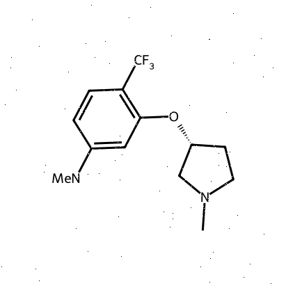 CNc1ccc(C(F)(F)F)c(O[C@@H]2CCN(C)C2)c1